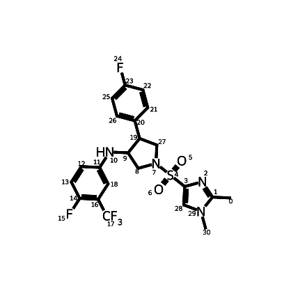 Cc1nc(S(=O)(=O)N2CC(Nc3ccc(F)c(C(F)(F)F)c3)C(c3ccc(F)cc3)C2)cn1C